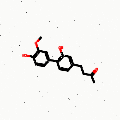 COc1cc(-c2ccc(CCC(C)=O)cc2O)ccc1O